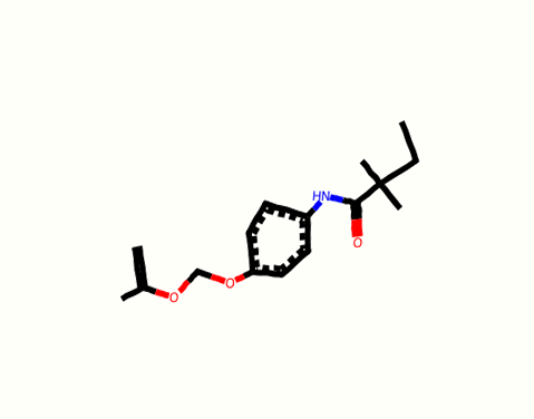 C=C(C)OCOc1ccc(NC(=O)C(C)(C)CC)cc1